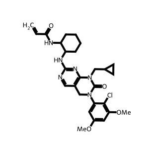 C=CC(=O)NC1CCCCC1Nc1ncc2c(n1)N(CC1CC1)C(=O)N(c1cc(OC)cc(OC)c1Cl)C2